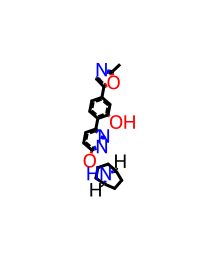 Cc1ncc(-c2ccc(-c3ccc(O[C@@H]4C[C@H]5CC[C@@H](C4)N5)nn3)c(O)c2)o1